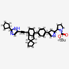 CC(C)(C)OC(=O)N1CCCC1C1=NC=C(c2ccc(-c3ccc(C#Cc4cnc(C5CCCC5)[nH]4)c4c3CC3(CCCC3)C4)cc2)C1